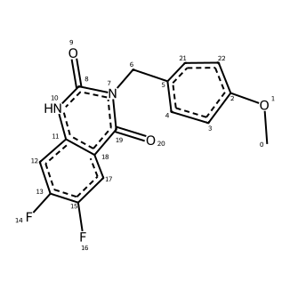 COc1ccc(Cn2c(=O)[nH]c3cc(F)c(F)cc3c2=O)cc1